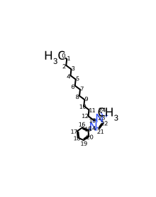 CCCCCCCCCCCCCc1n(-c2ccccc2)cc[n+]1C